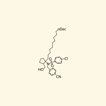 CCCCCCCCCCCCCCCCCCCCC1(N(Cc2ccc(C#N)cc2)S(=O)(=O)c2ccc(Cl)cc2)CCCC1CO